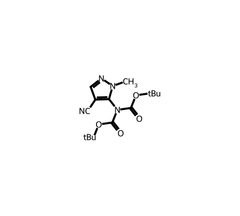 Cn1ncc(C#N)c1N(C(=O)OC(C)(C)C)C(=O)OC(C)(C)C